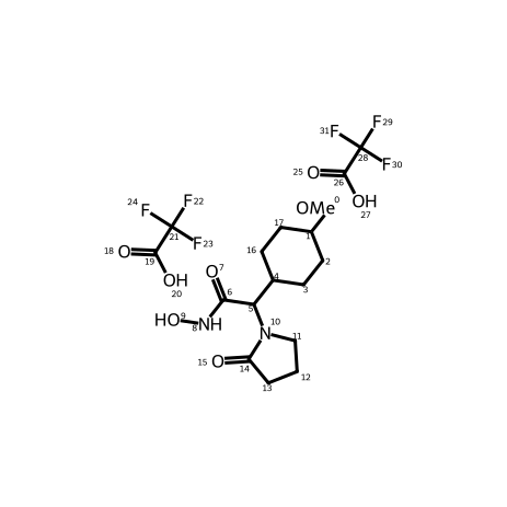 COC1CCC(C(C(=O)NO)N2CCCC2=O)CC1.O=C(O)C(F)(F)F.O=C(O)C(F)(F)F